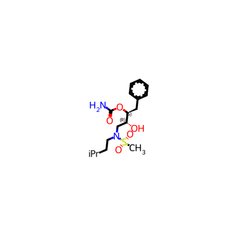 CC(C)CCN(C[C@@H](O)[C@H](Cc1ccccc1)OC(N)=O)S(C)(=O)=O